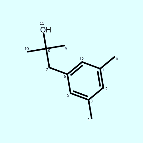 Cc1cc(C)cc(CC(C)(C)O)c1